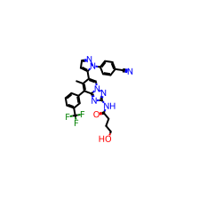 Cc1c(-c2ccnn2-c2ccc(C#N)cc2)cn2nc(NC(=O)CCCO)nc2c1-c1cccc(C(F)(F)F)c1